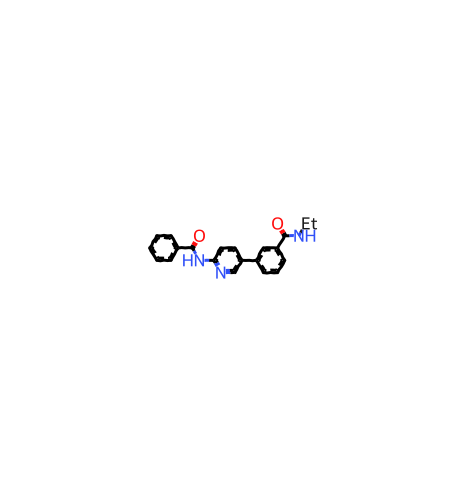 CCNC(=O)c1cccc(-c2ccc(NC(=O)c3ccccc3)nc2)c1